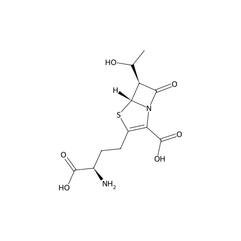 CC(O)[C@H]1C(=O)N2C(C(=O)O)=C(CC[C@@H](N)C(=O)O)S[C@H]12